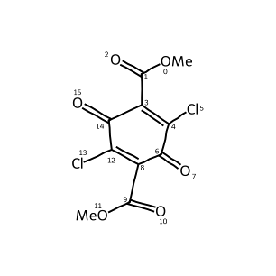 COC(=O)C1=C(Cl)C(=O)C(C(=O)OC)=C(Cl)C1=O